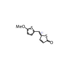 COc1ccc(/C=C2\C=CC(=O)S2)s1